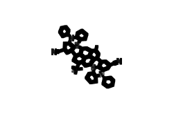 Cc1cc2c3c(cc4c([Si](C)(C)C)cc5c6c(cc1c3c46)B1c3ccccc3N(c3ccccc3)c3cc(C#N)cc-5c31)B1c3ccccc3N(c3ccccc3)c3cc(C#N)cc-2c31